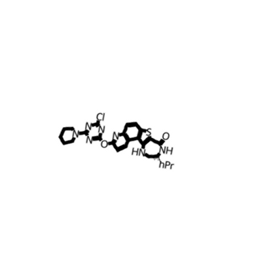 CCC[C@@H]1CNc2c(sc3ccc4nc(Oc5nc(Cl)nc(N6CCCCC6)n5)ccc4c23)C(=O)N1